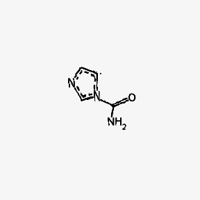 NC(=O)n1[c]cnc1